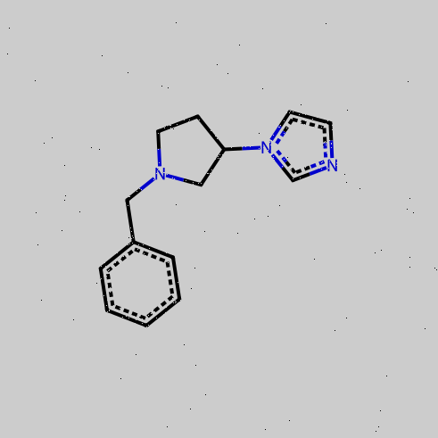 c1ccc(CN2CCC(n3ccnc3)C2)cc1